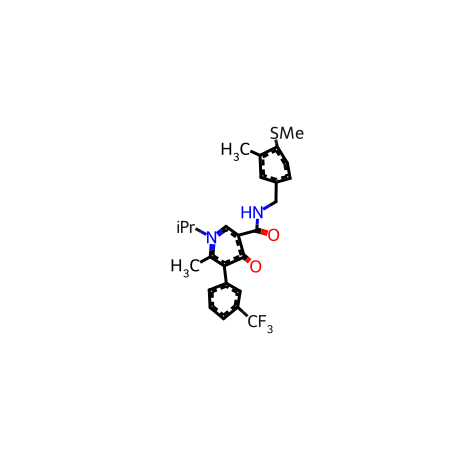 CSc1ccc(CNC(=O)c2cn(C(C)C)c(C)c(-c3cccc(C(F)(F)F)c3)c2=O)cc1C